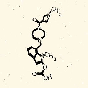 CN1CC(C(=O)N2CCN(Cc3cccc4cc(OC(=O)O)n(C)c34)CC2)C1